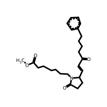 COC(=O)CCCCCCN1C(=O)CCC1/C=C/C(=O)CCCCc1ccccc1